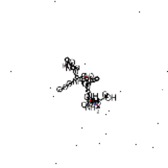 COCCOCCOCCNc1cc(COc2cc3c(cc2OC)C(=O)N2c4ccccc4C[C@H]2C=N3)cc(COc2cc3c(cc2OC)C(=O)N2c4ccccc4CC2CN3C(=O)OCc2ccc(NC(=O)[C@H](CCC(N)=O)NC(=O)C(/C=C/C(C)C)NC(=O)CCCCC(=O)O)cc2)c1